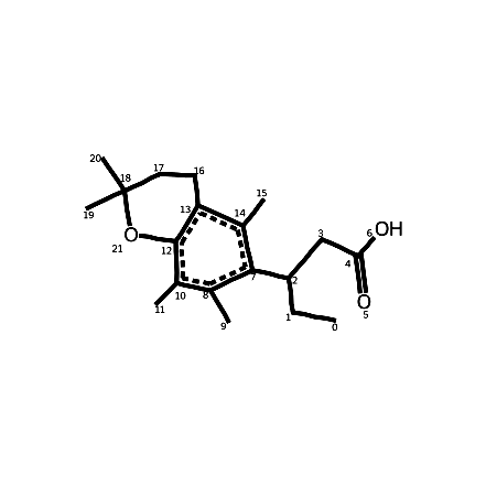 CCC(CC(=O)O)c1c(C)c(C)c2c(c1C)CCC(C)(C)O2